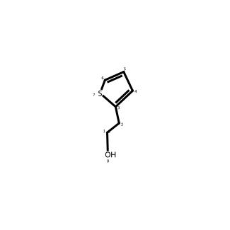 O[CH]Cc1cccs1